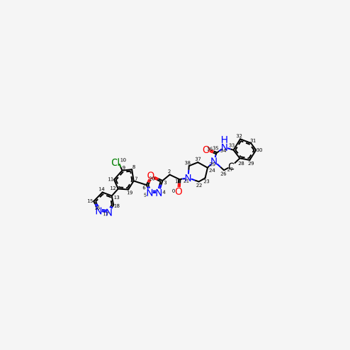 O=C(Cc1nnc(-c2cc(Cl)cc(-c3ccnnc3)c2)o1)N1CCC(N2CCc3ccccc3NC2=O)CC1